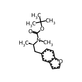 C[C@H](Cc1ccc2occc2c1)N(C)C(=O)OC(C)(C)C